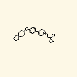 COC(=O)CCN1CC=C(c2ccc(OC3CCC4(CCCC4)CC3)cc2)CC1